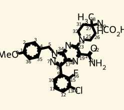 COc1ccc(Cn2nc(-c3cccc(Cl)c3F)c3nc(C(N)=O)c(N4CCC(C)(NC(=O)O)CC4)nc32)cc1